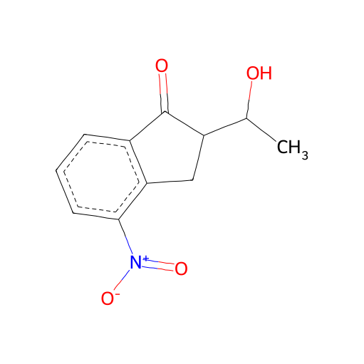 CC(O)C1Cc2c(cccc2[N+](=O)[O-])C1=O